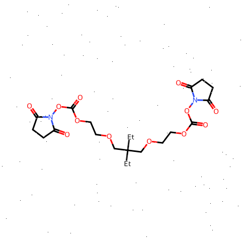 CCC(CC)(COCCOC(=O)ON1C(=O)CCC1=O)COCCOC(=O)ON1C(=O)CCC1=O